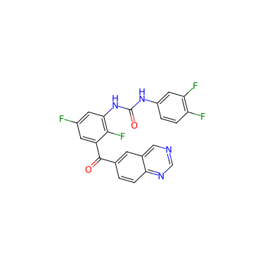 O=C(Nc1ccc(F)c(F)c1)Nc1cc(F)cc(C(=O)c2ccc3ncncc3c2)c1F